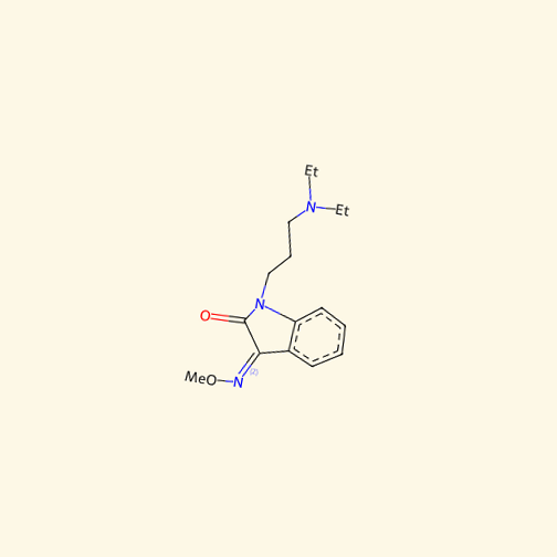 CCN(CC)CCCN1C(=O)/C(=N\OC)c2ccccc21